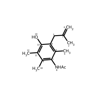 C=C(C)Cc1c(C)c(NC(C)=O)c(C)c(C)c1O